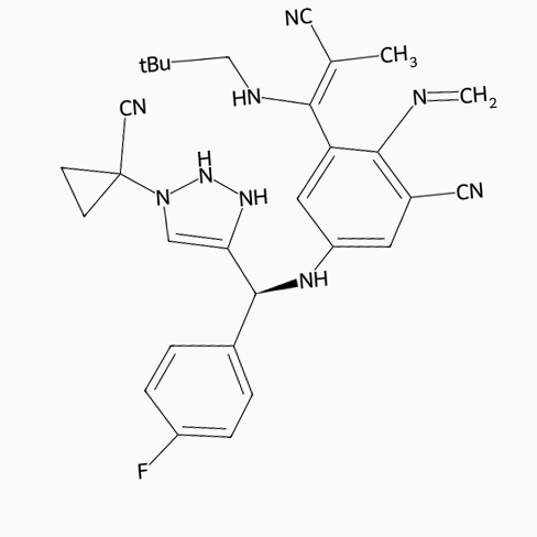 C=Nc1c(C#N)cc(N[C@H](C2=CN(C3(C#N)CC3)NN2)c2ccc(F)cc2)cc1/C(NCC(C)(C)C)=C(\C)C#N